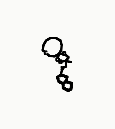 CC1(CSc2ccc3ccccc3c2)COC2(CCCCCCCCCCC2)OO1